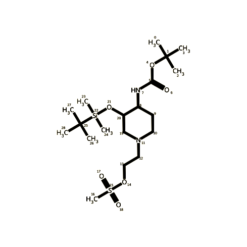 CC(C)(C)OC(=O)NC1CCN(CCOS(C)(=O)=O)CC1O[Si](C)(C)C(C)(C)C